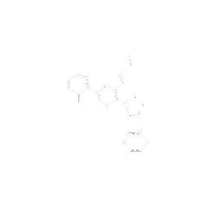 Cc1ccccc1-c1ccc(N2CCC(Oc3ccc(C(F)(F)F)cn3)C2)c(C=CCO)c1